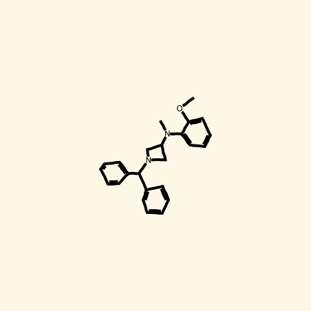 COc1ccccc1N(C)C1CN(C(c2ccccc2)c2ccccc2)C1